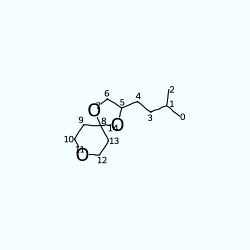 CC(C)CCC1COC2(CCOCC2)O1